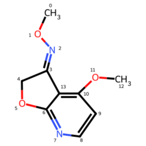 CON=C1COc2nccc(OC)c21